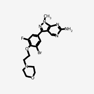 Cn1nc(-c2cc(F)c(OCCN3CCOCC3)c(Br)c2)c2cnc(N)nc21